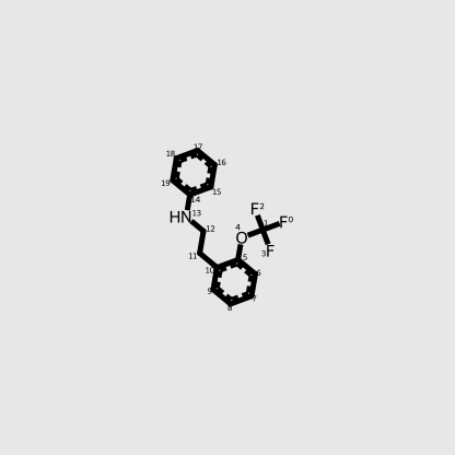 FC(F)(F)Oc1ccccc1CCNc1cc[c]cc1